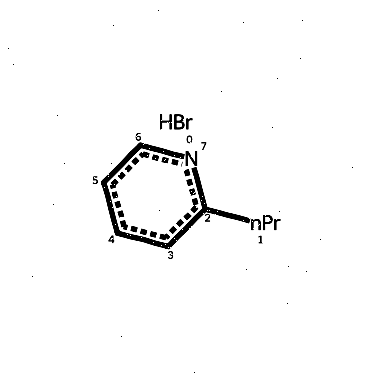 Br.CCCc1ccccn1